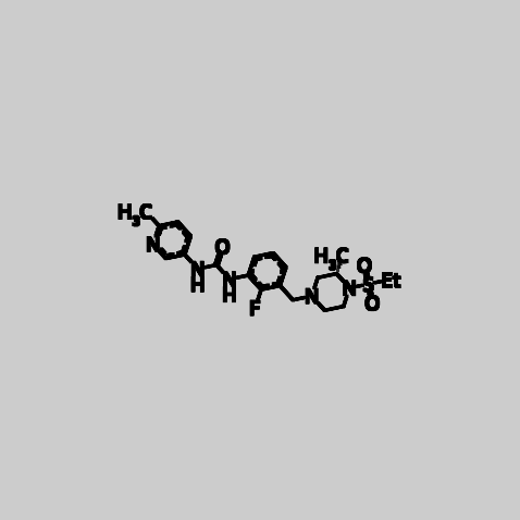 CCS(=O)(=O)N1CCN(Cc2cccc(NC(=O)Nc3ccc(C)nc3)c2F)C[C@@H]1C